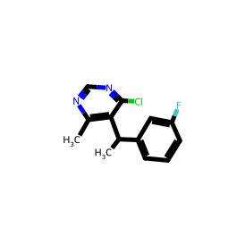 Cc1ncnc(Cl)c1C(C)c1cccc(F)c1